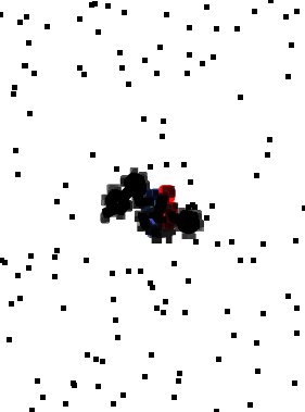 Cc1ccc(-c2ccccc2Cc2nc(=O)c(OCc3ccccc3)c3n2CCN(C(C)C)C3=O)cc1